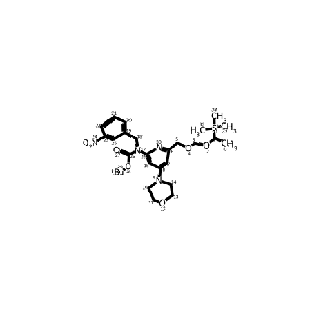 CC(OCOCc1cc(N2CCOCC2)cc(N(Cc2cccc([N+](=O)[O-])c2)C(=O)OC(C)(C)C)n1)[Si](C)(C)C